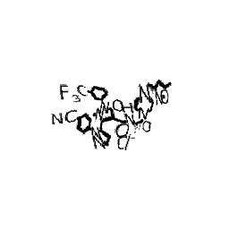 Cc1cc(C[N+]2(C)CCN(C(=O)[C@H](C)NC(=O)c3c(-c4ccnn4-c4ccc(C#N)cc4)n(C)n(-c4cccc(C(F)(F)F)c4)c3=O)CC2)no1.[Cl-]